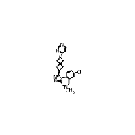 CN1Cc2cc(Cl)ccc2-n2c(nnc2C2CC3(C2)CN(c2ccncn2)C3)C1